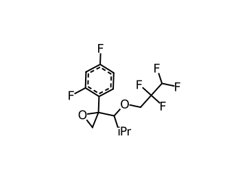 CC(C)C(OCC(F)(F)C(F)F)C1(c2ccc(F)cc2F)CO1